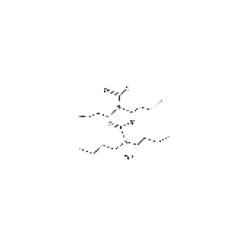 CCCCN(CCCC)C(=O)[S-].CCCCN(CCCC)C(=O)[S-].[Cd+2]